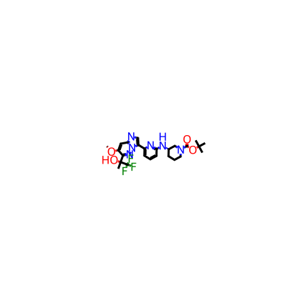 COc1cc2ncc(-c3cccc(N[C@@H]4CCCN(C(=O)OC(C)(C)C)C4)n3)n2nc1C(C)(O)C(F)(F)F